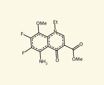 CCn1cc(C(=O)OC)c(=O)c2c(N)c(F)c(F)c(OC)c21